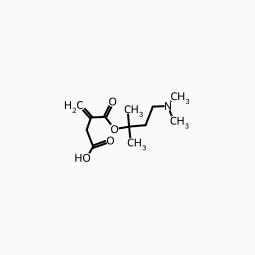 C=C(CC(=O)O)C(=O)OC(C)(C)CCN(C)C